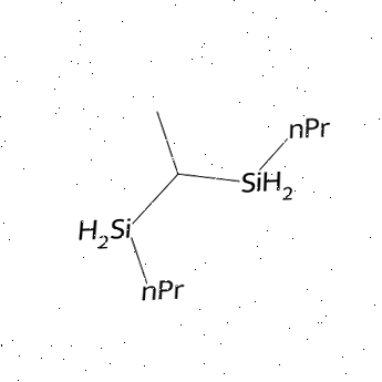 CCC[SiH2]C(C)[SiH2]CCC